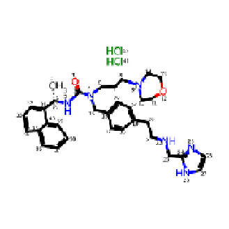 C[C@H](NC(=O)N(CCCN1CCOCC1)Cc1ccc(CCNCc2ncc[nH]2)cc1)c1cccc2ccccc12.Cl.Cl